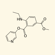 CCNc1ccc(C(=O)OC)cc1C(=O)Oc1cccnc1